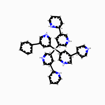 c1ccc(-c2cncc([Si](c3cncc(-c4ccncc4)c3)(c3cncc(-c4ccccn4)c3)c3cncc(-c4ccccn4)c3)c2)cc1